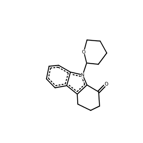 O=C1CCCc2c1n(C1CCCCO1)c1ccccc21